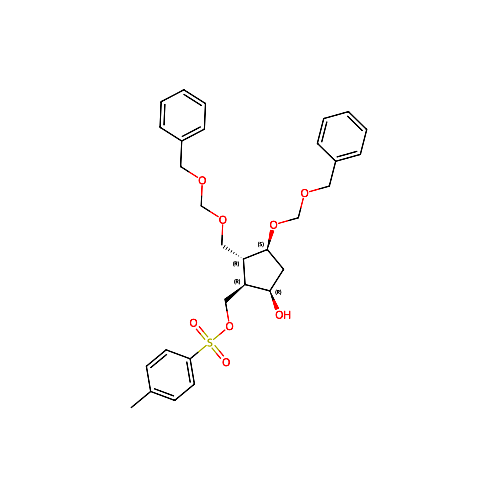 Cc1ccc(S(=O)(=O)OC[C@H]2[C@H](COCOCc3ccccc3)[C@@H](OCOCc3ccccc3)C[C@H]2O)cc1